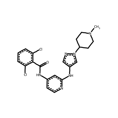 CN1CCC(n2cc(Nc3cc(NC(=O)c4c(Cl)cccc4Cl)ccn3)cn2)CC1